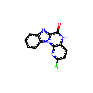 O=c1[nH]c2ccc(Cl)nc2n2c1nc1ccccc12